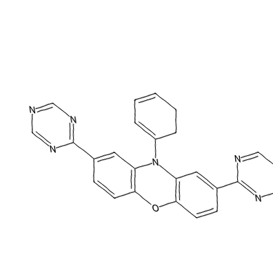 C1=CCCC(N2c3cc(-c4ncncn4)ccc3Oc3ccc(-c4ncncn4)cc32)=C1